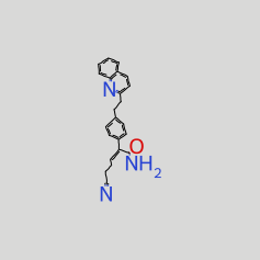 N#CCCC=C(C(N)=O)c1ccc(CCc2ccc3ccccc3n2)cc1